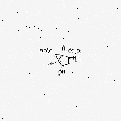 CCOC(=O)[C@H]1[C@H]2[C@@H]1[C@](N)(C(=O)OCC)C[C@@H]2O